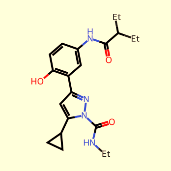 CCNC(=O)n1nc(-c2cc(NC(=O)C(CC)CC)ccc2O)cc1C1CC1